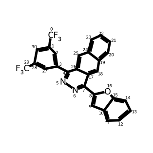 FC(F)(F)c1cc(-c2nnc(-c3cc4ccccc4o3)c3cc4ccccc4cc23)cc(C(F)(F)F)c1